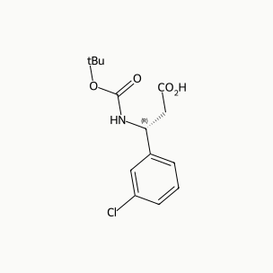 CC(C)(C)OC(=O)N[C@H](CC(=O)O)c1cccc(Cl)c1